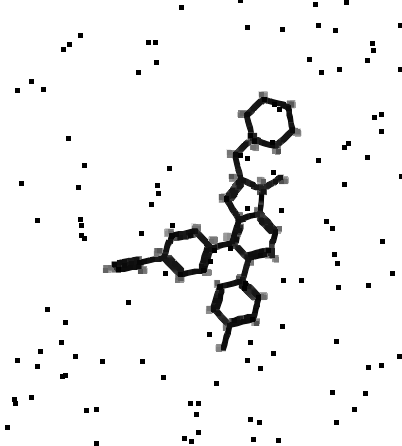 Cc1ccc(-c2ncc3c(cc(CN4CCCCC4)n3C)c2-c2ccc(C#N)cc2)cc1